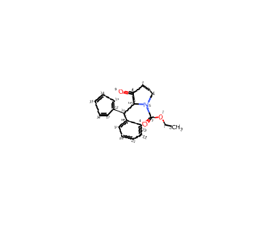 CCOC(=O)N1CCC(=O)C1C(c1ccccc1)c1ccccc1